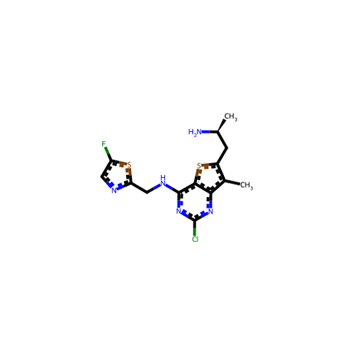 Cc1c(C[C@H](C)N)sc2c(NCc3ncc(F)s3)nc(Cl)nc12